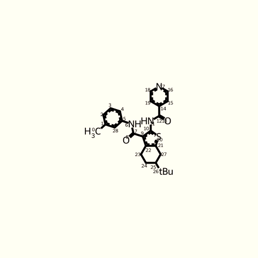 Cc1cccc(NC(=O)c2c(NC(=O)c3ccncc3)sc3c2CCC(C(C)(C)C)C3)c1